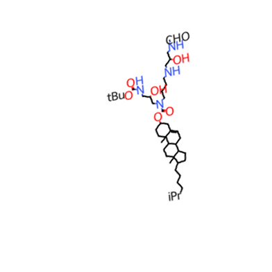 CC(C)CCCCC1CCC2C3CC=C4CC(OC(=O)N(CCCCNCC(O)CNC=O)CC(O)CNC(=O)OC(C)(C)C)CCC4(C)C3CCC12C